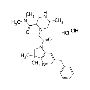 C[C@@H]1CN(CC(=O)N2CC(C)(C)c3ncc(Cc4ccccc4)cc32)[C@@H](C(=O)N(C)C)CN1.Cl.Cl